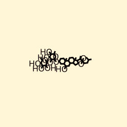 CC1CCC2(OC1)OC1CC3C4CC(O)C5CC(OC6OC(C)C(O)C(O)C6OC6OC(C)C(O)C(O)C6O)CCC5(C)C4CCC3(C)C1C2C